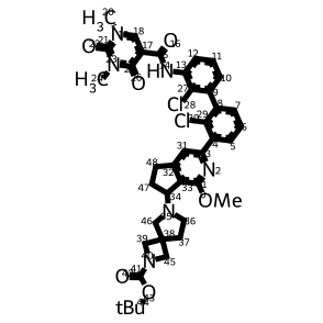 COc1nc(-c2cccc(-c3cccc(NC(=O)c4cn(C)c(=O)n(C)c4=O)c3Cl)c2Cl)cc2c1C(N1CCC3(CN(C(=O)OC(C)(C)C)C3)C1)CC2